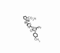 CC(C)CCN(C(=O)Nc1ncc(S(=O)(=O)N2CCC[C@H]2C(=O)O)s1)[C@H]1CC[C@H](C)CC1